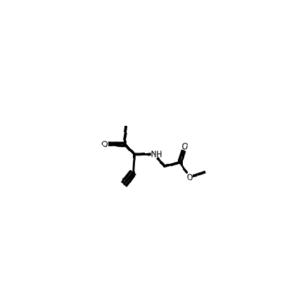 C#CC(NCC(=O)OC)C(C)=O